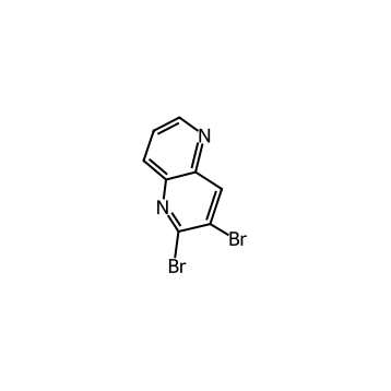 Brc1cc2ncccc2nc1Br